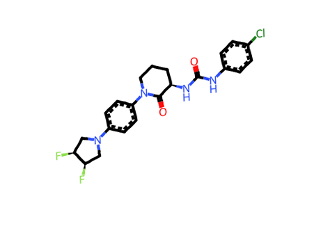 O=C(Nc1ccc(Cl)cc1)N[C@@H]1CCCN(c2ccc(N3C[C@@H](F)[C@@H](F)C3)cc2)C1=O